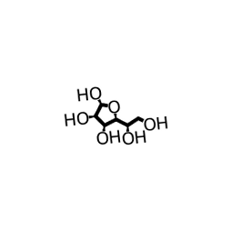 OC[C@@H](O)[C@@H]1O[C@H](O)[C@H](O)[C@@H]1O